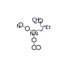 C/C=C\c1ccccc1CC(/C=C\Cc1cc(-c2ccc(-c3cccnc3)cc2)nc(-c2ccc(-c3cccc4ccccc34)cc2)n1)=C/CC